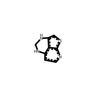 c1cc2c3c(csc3n1)NCN2